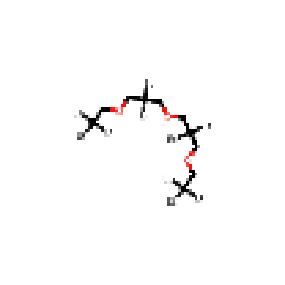 CCC(CC)(CC)COCC(CC)(CC)COCC(CC)(CC)COCC(CC)(CC)CC